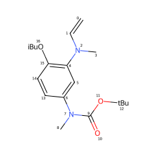 C=CN(C)c1cc(N(C)C(=O)OC(C)(C)C)ccc1OCC(C)C